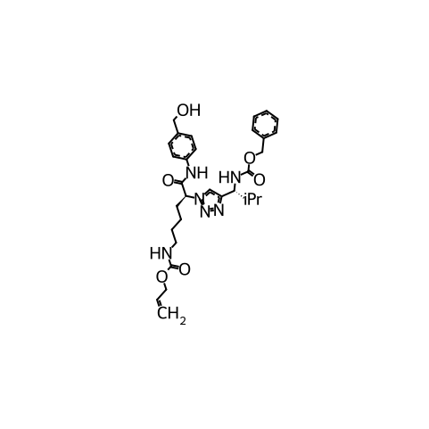 C=CCOC(=O)NCCCC[C@@H](C(=O)Nc1ccc(CO)cc1)n1cc([C@H](NC(=O)OCc2ccccc2)C(C)C)nn1